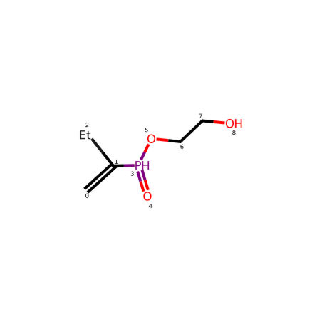 C=C(CC)[PH](=O)OCCO